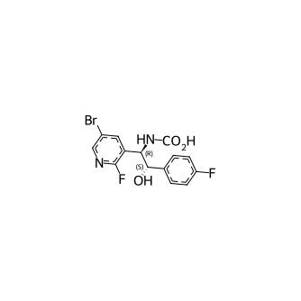 O=C(O)N[C@H](c1cc(Br)cnc1F)[C@@H](O)c1ccc(F)cc1